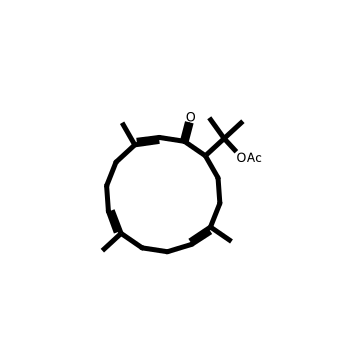 CC(=O)OC(C)(C)C1CCC(C)=CCCC(C)=CCCC(C)=CC1=O